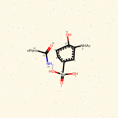 CC(=O)Nc1cc([As](=O)(O)O)ccc1O.CCCCCC(N)=O